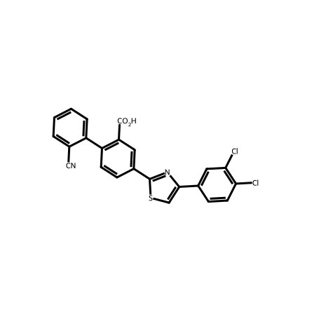 N#Cc1ccccc1-c1ccc(-c2nc(-c3ccc(Cl)c(Cl)c3)cs2)cc1C(=O)O